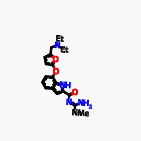 CCN(CC)Cc1ccc(Oc2cccc3cc(C(=O)N=C(N)NC)[nH]c23)o1